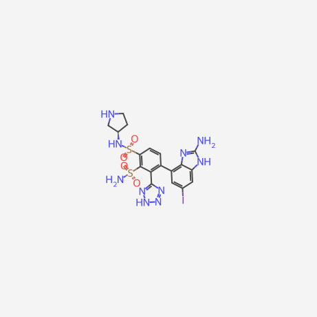 Nc1nc2c(-c3ccc(S(=O)(=O)N[C@@H]4CCNC4)c(S(N)(=O)=O)c3-c3nn[nH]n3)cc(I)cc2[nH]1